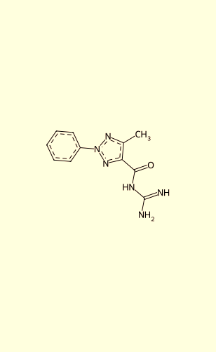 Cc1nn(-c2ccccc2)nc1C(=O)NC(=N)N